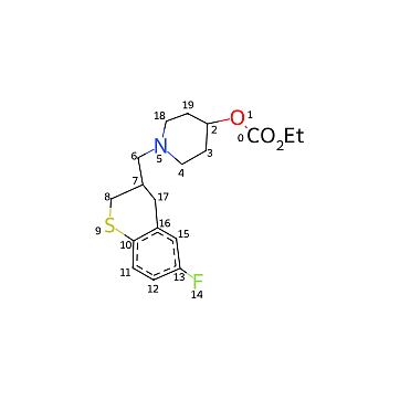 CCOC(=O)OC1CCN(CC2CSc3ccc(F)cc3C2)CC1